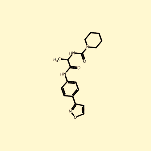 C[C@@H](NC(=O)N1CCCCC1)C(=O)Nc1ccc(-c2ccon2)cc1